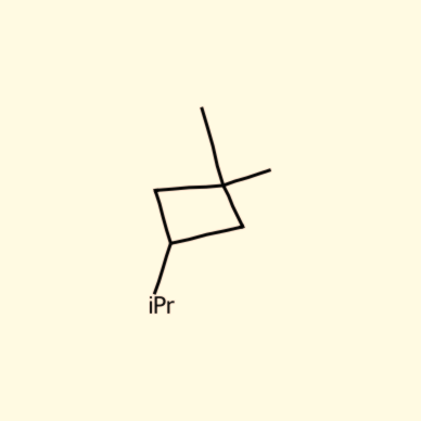 CC(C)C1CC(C)(C)C1